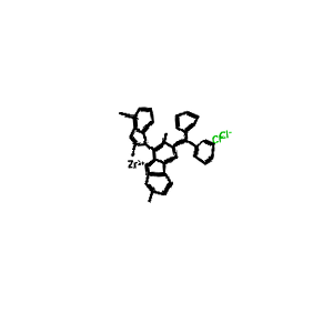 CC1=Cc2c(C)cccc2C1c1c(C)c(=C(c2ccccc2)c2ccccc2)cc2c1=[C]([Zr+2])c1cc(C)ccc1-2.[Cl-].[Cl-]